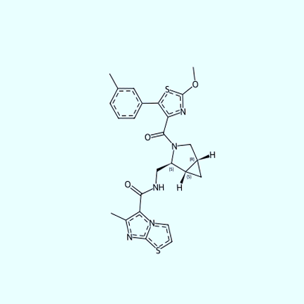 COc1nc(C(=O)N2C[C@@H]3C[C@@H]3[C@H]2CNC(=O)c2c(C)nc3sccn23)c(-c2cccc(C)c2)s1